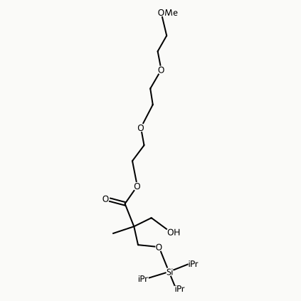 COCCOCCOCCOC(=O)C(C)(CO)CO[Si](C(C)C)(C(C)C)C(C)C